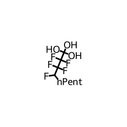 CCCCCC(F)C(F)(F)C(F)(F)C(O)(O)O